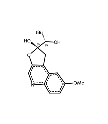 COc1ccc2ncc3c(c2c1)C[C@@](O)([C@@H](O)C(C)(C)C)O3